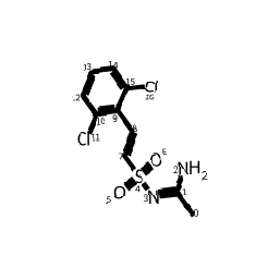 CC(N)=NS(=O)(=O)C=Cc1c(Cl)cccc1Cl